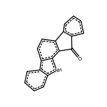 O=C1c2ccccc2-c2ccc3c([nH]c4ccccc43)c21